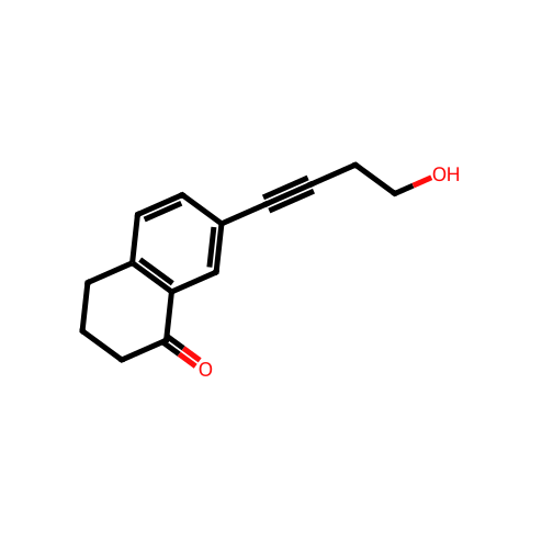 O=C1CCCc2ccc(C#CCCO)cc21